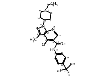 CCN1CCC(n2nc(C)c3c(Cl)c(C(=O)Nc4ccc(C(F)(F)F)cc4)cnc32)CC1